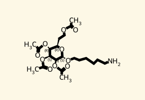 CC(=O)OCC[C@H]1O[C@H](OCCCCCCN)[C@@H](OC(C)=O)[C@@H](OC(C)=O)[C@@H]1OC(C)=O